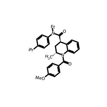 CCN(C(=O)[C@@H]1C[C@@H](C)N(C(=O)c2ccc(OC)cc2)c2ccccc21)c1ccc(C(C)C)cc1